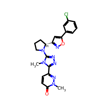 Cn1c(-c2ccc(=O)n(C)n2)nnc1N1CCC[C@@H]1c1cc(-c2cccc(Cl)c2)on1